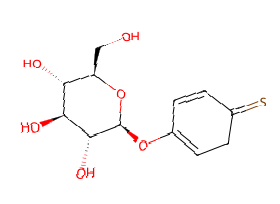 OC[C@H]1O[C@@H](OC2=CCC(=S)C=C2)[C@H](O)[C@@H](O)[C@@H]1O